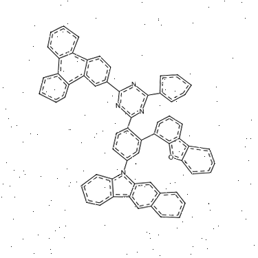 c1ccc(-c2nc(-c3ccc4c5ccccc5c5ccccc5c4c3)nc(-c3ccc(-n4c5ccccc5c5cc6ccccc6cc54)cc3-c3cccc4c3oc3ccccc34)n2)cc1